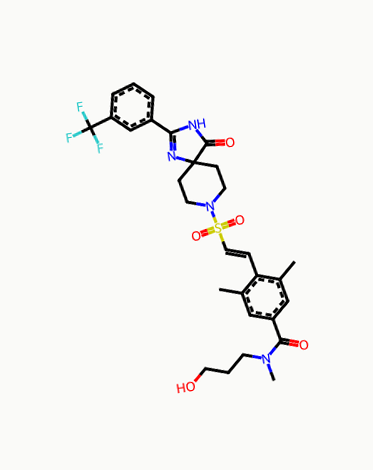 Cc1cc(C(=O)N(C)CCCO)cc(C)c1/C=C/S(=O)(=O)N1CCC2(CC1)N=C(c1cccc(C(F)(F)F)c1)NC2=O